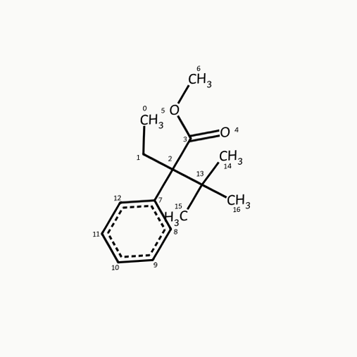 CCC(C(=O)OC)(c1ccccc1)C(C)(C)C